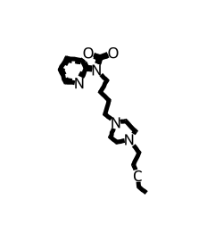 CCCCCN1CCN(CCCCn2c(=O)oc3cccnc32)CC1